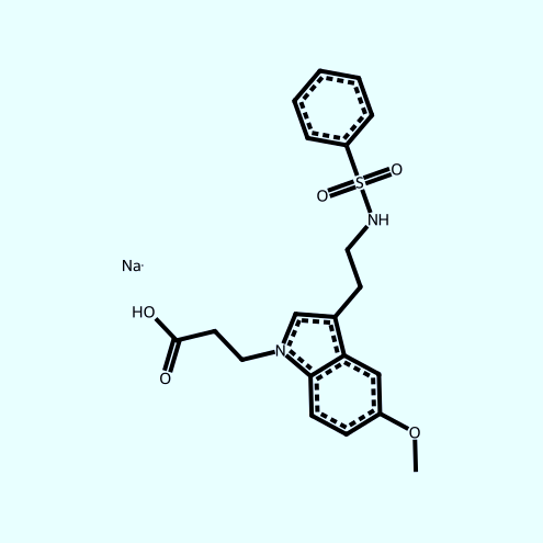 COc1ccc2c(c1)c(CCNS(=O)(=O)c1ccccc1)cn2CCC(=O)O.[Na]